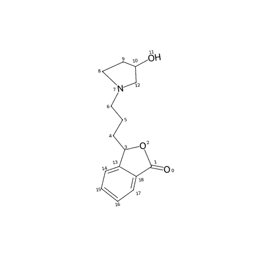 O=C1OC(CCCN2CCC(O)C2)c2ccccc21